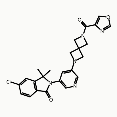 CC1(C)c2cc(Cl)ccc2C(=O)N1c1cncc(N2CC3(CN(C(=O)c4cocn4)C3)C2)c1